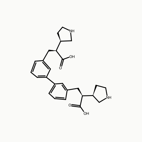 O=C(O)[C@@H](Cc1cccc(-c2cccc(C[C@H](C(=O)O)[C@H]3CCNC3)c2)c1)[C@H]1CCNC1